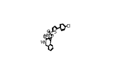 O=C1NCc2ccccc2C2CC12NS(=O)(=O)c1ccc(-c2ccc(Cl)cc2)s1